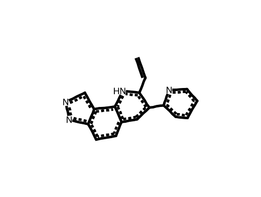 C=Cc1[nH]c2c(ccc3nncc32)cc1-c1ccccn1